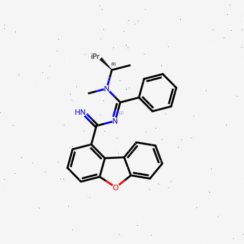 CC(C)[C@@H](C)N(C)/C(=N\C(=N)c1cccc2oc3ccccc3c12)c1ccccc1